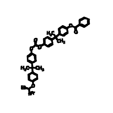 CCCC(CC)Oc1ccc(C(C)(C)c2ccc(OC(=O)Oc3ccc(C(C)(C)c4ccc(OC(=O)c5ccccc5)cc4)cc3)cc2)cc1